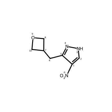 O=[N+]([O-])c1c[nH]nc1CC1COC1